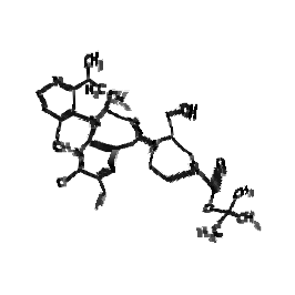 Cc1ccnc(C(C)C)c1N1c2nc(Cl)c(F)cc2C(N2CCN(C(=O)OC(C)(C)C)CC2CO)=NC1C